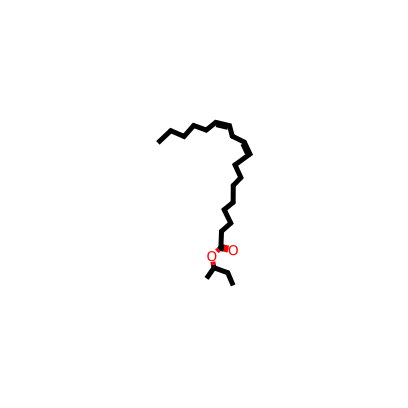 CCCCC/C=C\C/C=C\CCCCCCCC(=O)OC(C)CC